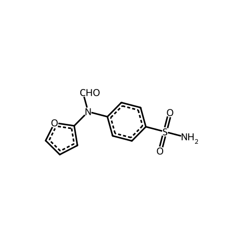 NS(=O)(=O)c1ccc(N(C=O)c2ccco2)cc1